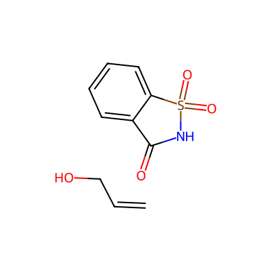 C=CCO.O=C1NS(=O)(=O)c2ccccc21